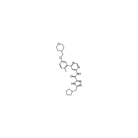 Cc1ccc(OCC2CCOCC2)cc1-c1cc(NC(=O)c2nnc(CC3CCCC3)[nH]2)ncn1